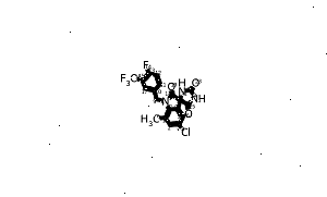 Cc1cc(Cl)cc2c1N(Cc1ccc(F)c(C(F)(F)F)c1)C(=O)C21NC(=O)NC1=O